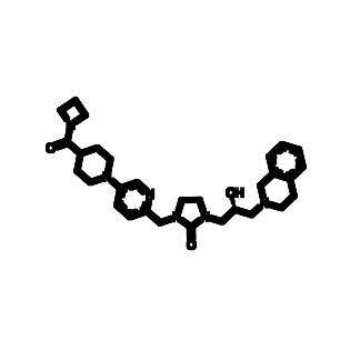 O=C(C1CCN(c2ccc(CN3CCN(C[C@H](O)CN4CCc5ccccc5C4)C3=O)nc2)CC1)N1CCC1